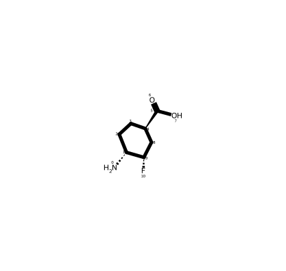 N[C@@H]1CC[C@@H](C(=O)O)C[C@@H]1F